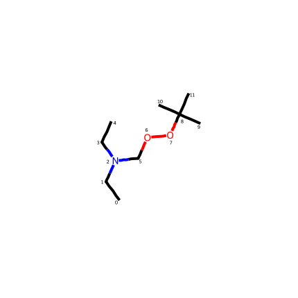 CCN(CC)COOC(C)(C)C